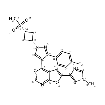 Cn1cnc(-c2cc3c(-c4cn([C@H]5C[C@@H](S(C)(=O)=O)C5)nc4-c4ccc(F)cc4)ncnc3o2)c1